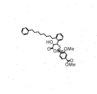 COC(=O)c1ccc(CSC(c2ccccc2CCCCCCCCc2ccccc2)C(O)C(=O)OC)c(OC)c1